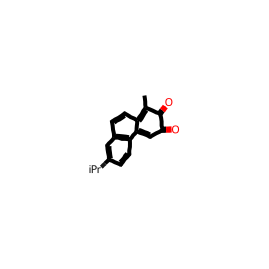 CC1=c2ccc3cc(C(C)C)ccc3c2=CC(=O)C1=O